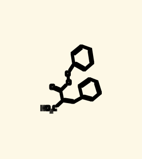 O=C(O)C(=Cc1ccccc1)C(=O)OOc1ccccc1